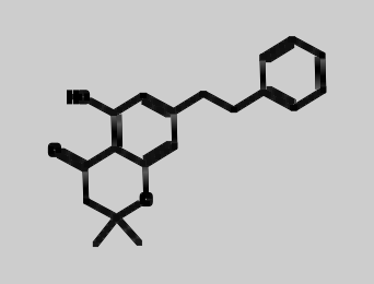 CC1(C)CC(=O)c2c(O)cc(CCc3ccccc3)cc2O1